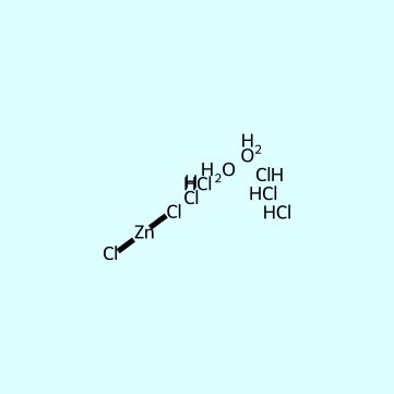 Cl.Cl.Cl.Cl.Cl.O.O.[Cl][Zn][Cl]